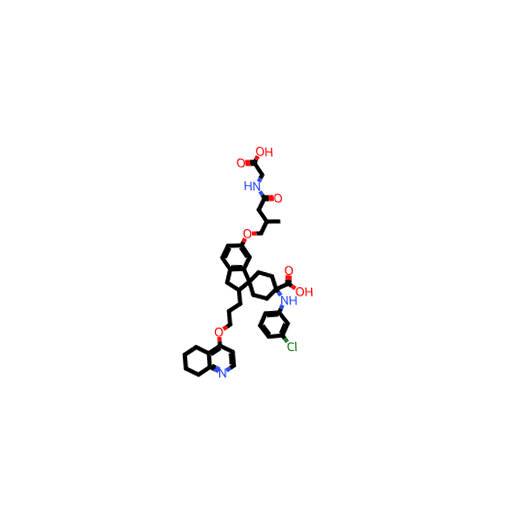 CC(COc1ccc2c(c1)C1(CCC(Nc3cccc(Cl)c3)(C(=O)O)CC1)C(CCCOc1ccnc3c1CCCC3)C2)CC(=O)NCC(=O)O